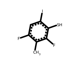 Cc1c(F)cc(I)c(S)c1F